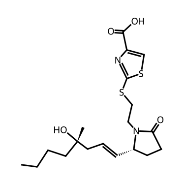 CCCC[C@](C)(O)C/C=C/[C@H]1CCC(=O)N1CCSc1nc(C(=O)O)cs1